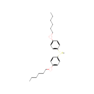 CCCCCCOc1ccc([S+](C)c2ccc(OCCCCCC)cc2)cc1